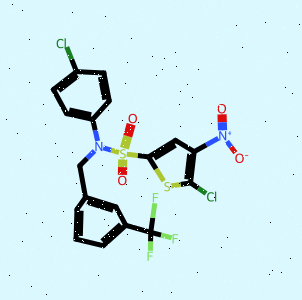 O=[N+]([O-])c1cc(S(=O)(=O)N(Cc2cccc(C(F)(F)F)c2)c2ccc(Cl)cc2)sc1Cl